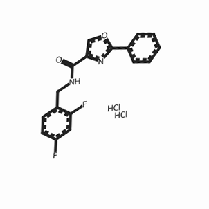 Cl.Cl.O=C(NCc1ccc(F)cc1F)c1coc(-c2ccccc2)n1